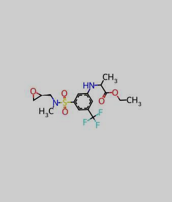 CCOC(=O)C(C)Nc1cc(C(F)(F)F)cc(S(=O)(=O)N(C)C[C@H]2CO2)c1